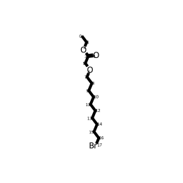 CCOC(=O)COCCCCCCCCCCBr